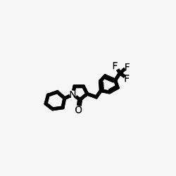 O=C1C(Cc2ccc(C(F)(F)F)cc2)CCN1C1CCCCC1